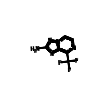 Nc1nc2c(C(F)(F)F)nccn2n1